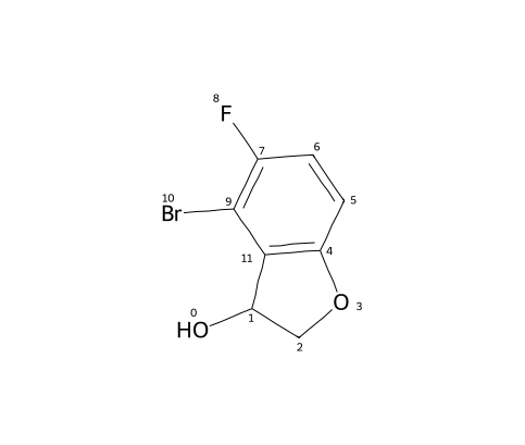 OC1COc2ccc(F)c(Br)c21